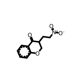 O=C1c2ccccc2OCC1CC[N+](=O)[O-]